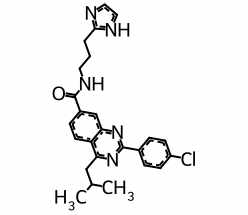 CC(C)Cc1nc(-c2ccc(Cl)cc2)nc2cc(C(=O)NCCCc3ncc[nH]3)ccc12